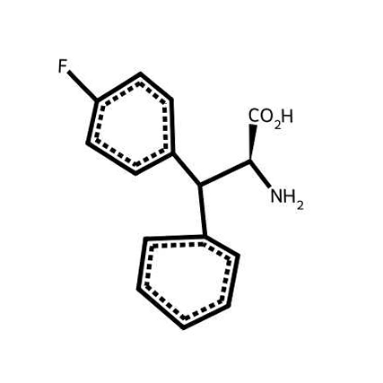 N[C@H](C(=O)O)C(c1ccccc1)c1ccc(F)cc1